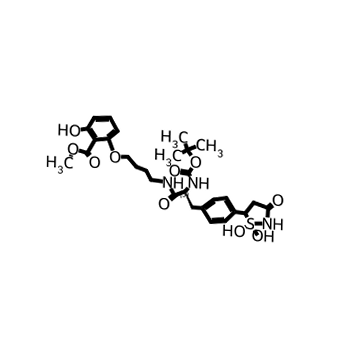 COC(=O)c1c(O)cccc1OCCCCNC(=O)[C@H](Cc1ccc(C2CC(=O)NS2(O)O)cc1)NC(=O)OC(C)(C)C